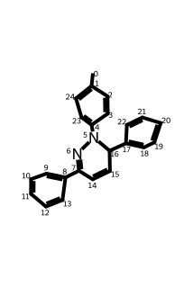 Cc1ccc(N2N=C(c3ccccc3)C=CC2c2ccccc2)cc1